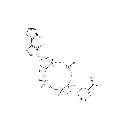 NC(=O)C1=NC=CC([C@@H]2C[C@@H]3CO[P@@](=O)(S)O[C@H]4C[C@H](n5cnc6c5ncn5ccnc65)O[C@@H]4CO[PH](=O)OC[C@H]32)C1